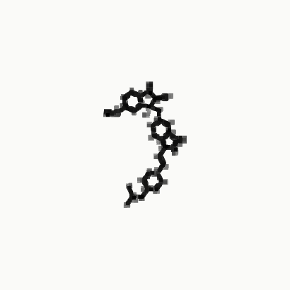 COc1ccc2c(c1)[C@](C)(Cc1ccc3c(/C=C/c4ccc(CN(C)C)cc4)n[nH]c3c1)C(=O)N2